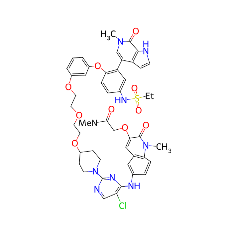 CCS(=O)(=O)Nc1ccc(Oc2cccc(OCCOCCOC3CCN(c4ncc(Cl)c(Nc5ccc6c(c5)cc(OCC(=O)NC)c(=O)n6C)n4)CC3)c2)c(-c2cn(C)c(=O)c3[nH]ccc23)c1